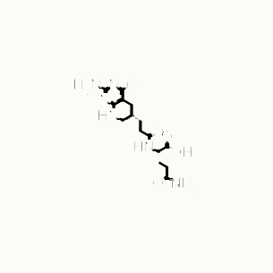 NC(=O)CC[C@H](NC(=O)CC[C@H]1CNc2nc(N)nc(O)c2C1)C(=O)O